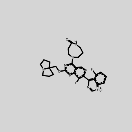 C=c1cccc(F)/c1=C(/N=C\C)c1ncc2c(N3CCCNC(=O)CC3)nc(OCC34CCCN3CCC4)nc2c1F